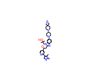 Cc1c(-c2cc(C(=O)Cc3nc4ccc(N5CCC(N6CCC7(CC6)CN(C)C7)CC5)cc4n3CC(C)(C)O)ccn2)cnn1C